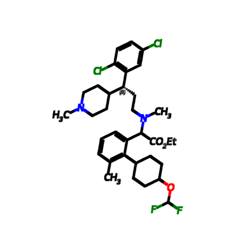 CCOC(=O)C(c1cccc(C)c1C1CCC(OC(F)F)CC1)N(C)CC[C@@H](c1cc(Cl)ccc1Cl)C1CCN(C)CC1